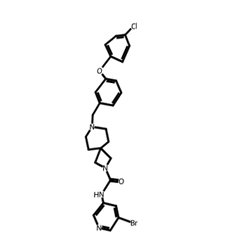 O=C(Nc1cncc(Br)c1)N1CC2(CCN(Cc3cccc(Oc4ccc(Cl)cc4)c3)CC2)C1